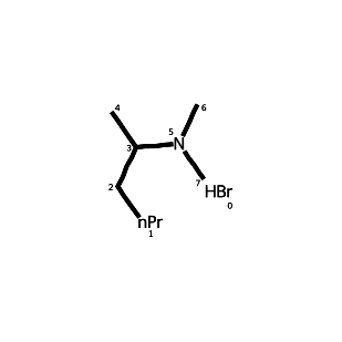 Br.CCCCC(C)N(C)C